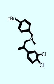 C=C(CN(C)Cc1ccc(C(C)(C)C)cc1)c1ccc(Cl)c(Cl)c1